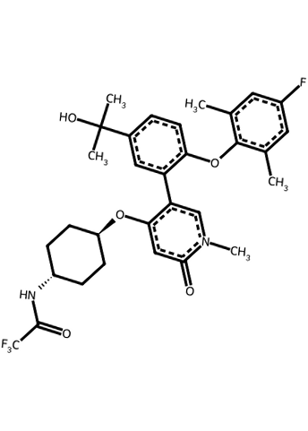 Cc1cc(F)cc(C)c1Oc1ccc(C(C)(C)O)cc1-c1cn(C)c(=O)cc1O[C@H]1CC[C@H](NC(=O)C(F)(F)F)CC1